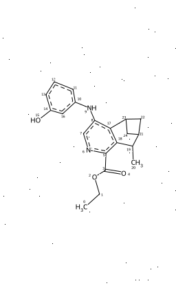 CCOC(=O)c1ncc(Nc2cccc(O)c2)c2c1C(C)C1CC2C1